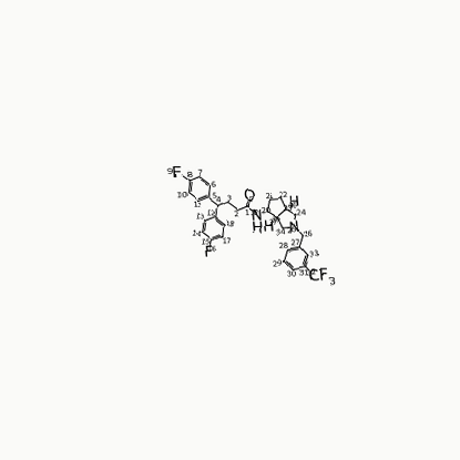 O=C(CCC(c1ccc(F)cc1)c1ccc(F)cc1)N[C@@H]1CC[C@H]2CN(Cc3cccc(C(F)(F)F)c3)C[C@H]21